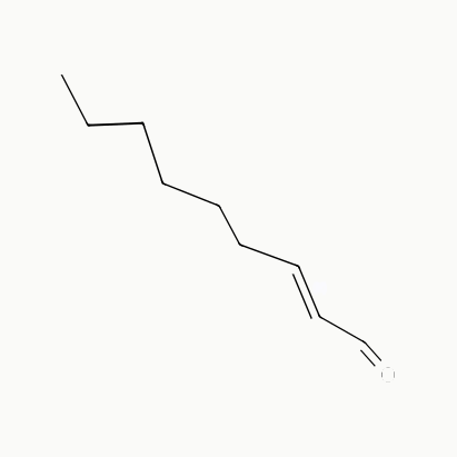 CCCCCC/C=C/[C]=O